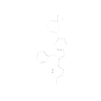 Cc1cc(-n2c(-c3ccc(F)cc3)nc3ccc(N4CCNC5(CC5)C4)nc32)ccn1